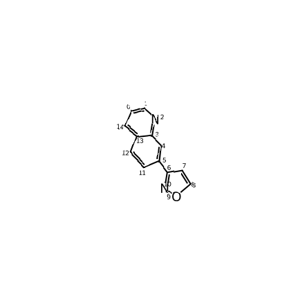 c1cnc2cc(-c3ccon3)ccc2c1